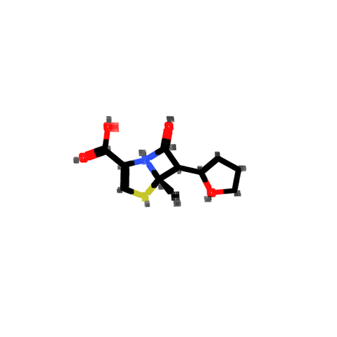 O=C(O)C1=CS[C@H]2C(C3CCCO3)C(=O)N12